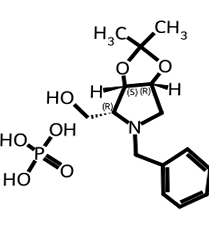 CC1(C)O[C@H]2[C@@H](CO)N(Cc3ccccc3)C[C@H]2O1.O=P(O)(O)O